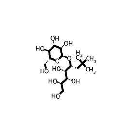 CC(C)(C)C[C@@H](O[C@H]1O[C@H](CO)[C@@H](O)[C@H](O)[C@@H]1O)[C@@H](O)[C@H](O)[C@H](O)CO